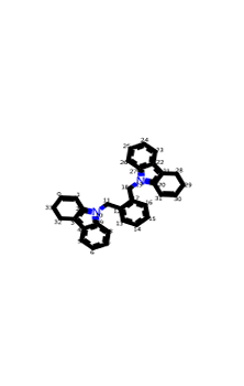 C1=Cc2c(c3ccccc3n2Cc2ccccc2Cn2c3c(c4ccccc42)CCC=C3)CC1